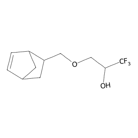 OC(COCC1CC2C=CC1C2)C(F)(F)F